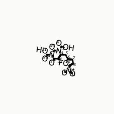 O=C(O)n1c(Cc2ccc([N+](=O)[O-])o2)c(F)c(=O)n(C(=O)O)c1=O